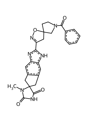 CN1C(=O)NC(=O)C12Cc1cc3nc(C4=NOC5(CCN(C(=O)c6ccccc6)C5)C4)[nH]c3cc1C2